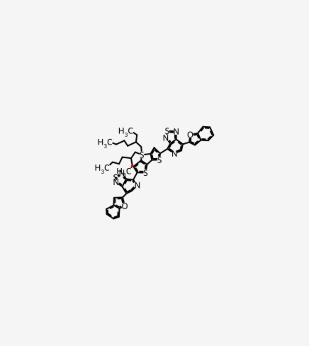 CCCCC(CC)CS1(CC(CC)CCCC)c2cc(-c3ncc(-c4cc5ccccc5o4)c4nsnc34)sc2-c2sc(-c3ncc(-c4cc5ccccc5o4)c4nsnc34)cc21